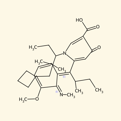 CCC(C)/C(=C1/C=CC=C(OC)/C1=N/C)c1cc(=O)c(C(=O)O)cn1C(CC)C(C)(C)CC1CCC1